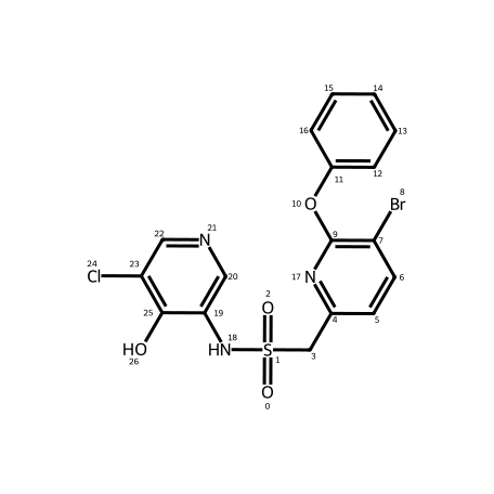 O=S(=O)(Cc1ccc(Br)c(Oc2ccccc2)n1)Nc1cncc(Cl)c1O